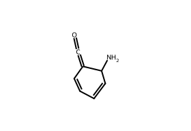 NC1C=CC=CC1=C=O